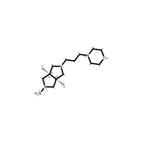 NN1C[C@@H]2CN(CCCN3CCOCC3)C[C@@H]2C1